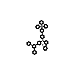 c1ccc(-c2cc(-c3ccccc3)cc(-c3ccc(N(c4ccc(-c5ccc([Si](c6ccccc6)(c6ccccc6)c6ccccc6)cc5)cc4)c4cccc5c4oc4ccccc45)cc3)c2)cc1